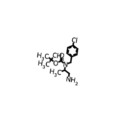 CC(CN)N(Cc1ccc(Cl)cc1)C(=O)OC(C)(C)C